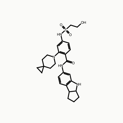 O=C(Nc1ccc2c(c1)NC1CCCC21)c1ccc(NS(=O)(=O)CCO)cc1N1CCC2(CC1)CC2